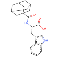 O=C(O)[C@H](Cc1c[nH]c2ccccc12)NC(=O)C12CC3CC(CC(C3)C1)C2